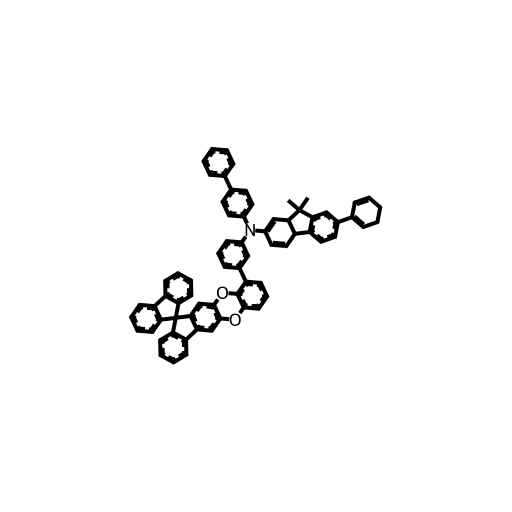 CC1(C)c2cc(C3=CCCC=C3)ccc2C2C=CC(N(c3ccc(-c4ccccc4)cc3)c3cccc(-c4cccc5c4Oc4cc6c(cc4O5)-c4ccccc4C64c5ccccc5-c5ccccc54)c3)=CC21